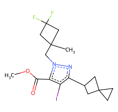 COC(=O)c1c(I)c(C2CC3(CC3)C2)nn1CC1(C)CC(F)(F)C1